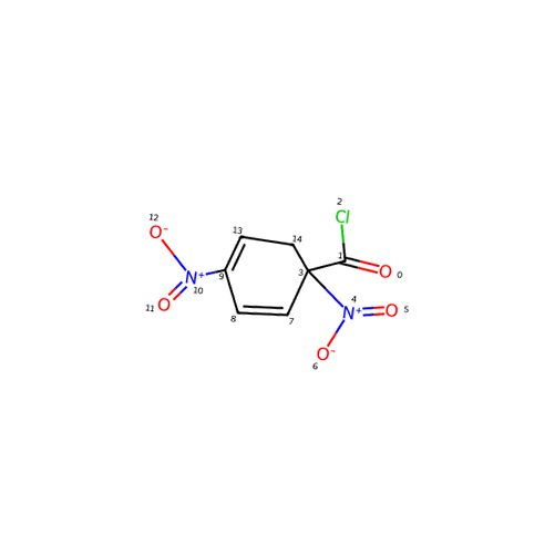 O=C(Cl)C1([N+](=O)[O-])C=CC([N+](=O)[O-])=CC1